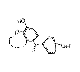 O=C(c1ccc(O)cc1)c1ccc(O)c2c1CCCCO2